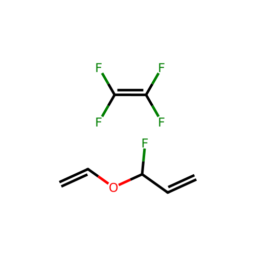 C=COC(F)C=C.FC(F)=C(F)F